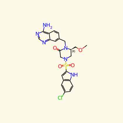 COC[C@H]1CN(S(=O)(=O)c2cc3cc(Cl)ccc3[nH]2)CC(=O)N1Cc1ccc2c(N)ncnc2c1